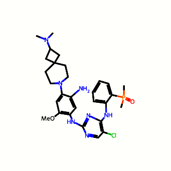 COc1cc(N2CCC3(CC2)CC(N(C)C)C3)c(N)cc1Nc1ncc(Cl)c(Nc2ccccc2P(C)(C)=O)n1